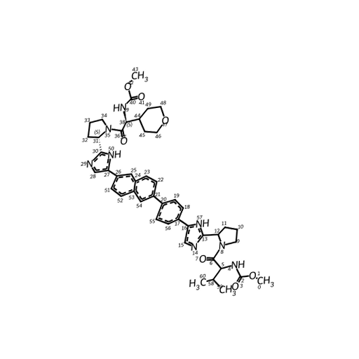 COC(=O)NC(C(=O)N1CCCC1c1ncc(-c2ccc(-c3ccc4cc(-c5cnc([C@@H]6CCCN6C(=O)[C@@H](NC(=O)OC)C6CCOCC6)[nH]5)ccc4c3)cc2)[nH]1)C(C)C